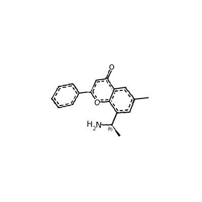 Cc1cc([C@@H](C)N)c2oc(-c3ccccc3)cc(=O)c2c1